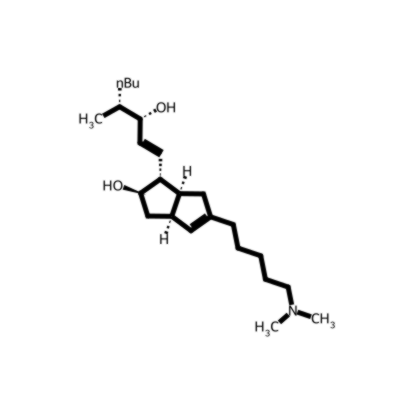 CCCC[C@@H](C)[C@H](O)/C=C/[C@@H]1[C@H]2CC(CCCCCN(C)C)=C[C@H]2C[C@H]1O